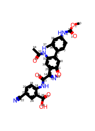 COC(=O)Nc1ccc(-c2cc3onc(C(=O)Nc4ccc(C#N)cc4C(=O)O)c3cc2NC(C)=O)c(C)c1